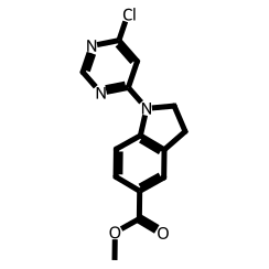 COC(=O)c1ccc2c(c1)CCN2c1cc(Cl)ncn1